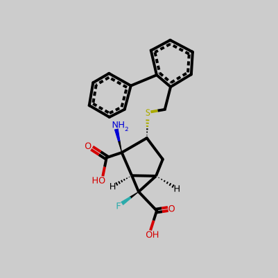 N[C@]1(C(=O)O)[C@H]2[C@@H](C[C@H]1SCc1ccccc1-c1ccccc1)[C@]2(F)C(=O)O